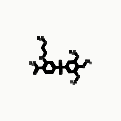 COCCNc1cc(S(=O)(=O)c2cc(OC)c(OC)c(OC)c2)ccc1C(N)=O